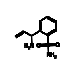 C=CC(N)c1ccccc1S(N)(=O)=O